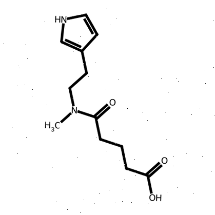 CN(CCc1cc[nH]c1)C(=O)CCCC(=O)O